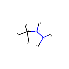 CN(C)N(C)C(C)(C)C